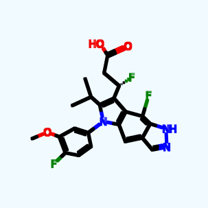 COc1cc(-n2c(C(C)C)c([C@@H](F)CC(=O)O)c3c(F)c4[nH]ncc4cc32)ccc1F